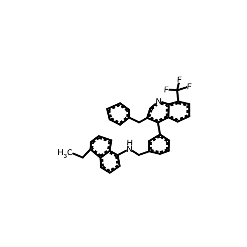 CCc1cccc2c(NCc3cccc(-c4c(Cc5ccccc5)cnc5c(C(F)(F)F)cccc45)c3)cccc12